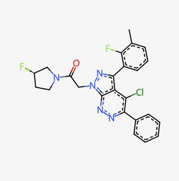 Cc1cccc(-c2nn(CC(=O)N3CC[C@@H](F)C3)c3nnc(-c4ccccc4)c(Cl)c23)c1F